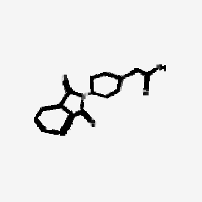 O=C(O)C[C@H]1CC[C@H](N2C(=O)c3ccccc3C2=O)CC1